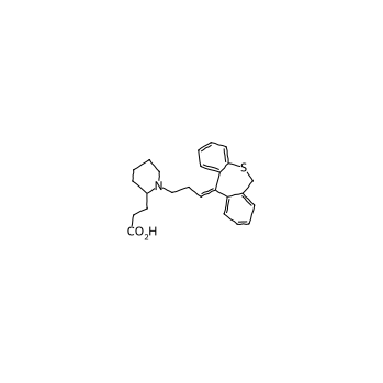 O=C(O)CCC1CCCCN1CCC=C1c2ccccc2CSc2ccccc21